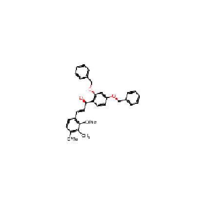 COc1ccc(C=CC(=O)c2ccc(OCc3ccccc3)cc2OCc2ccccc2)c(OC)c1C